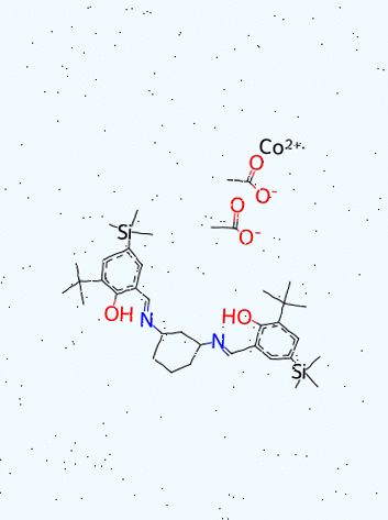 CC(=O)[O-].CC(=O)[O-].CC(C)(C)c1cc([Si](C)(C)C)cc(C=NC2CCCC(N=Cc3cc([Si](C)(C)C)cc(C(C)(C)C)c3O)C2)c1O.[Co+2]